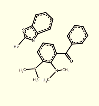 CN(C)c1cccc(C(=O)c2ccccc2)c1N(C)C.Sc1nc2ccccc2s1